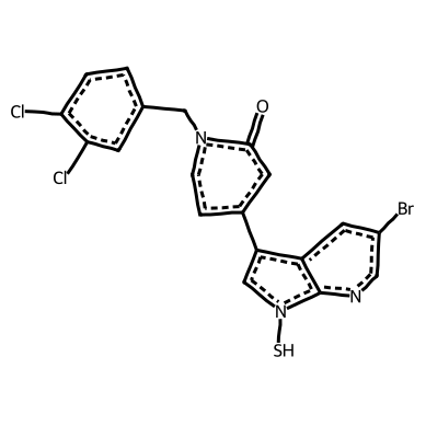 O=c1cc(-c2cn(S)c3ncc(Br)cc23)ccn1Cc1ccc(Cl)c(Cl)c1